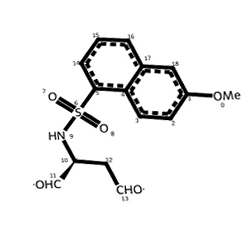 COc1ccc2c(S(=O)(=O)N[C@H]([C]=O)C[C]=O)cccc2c1